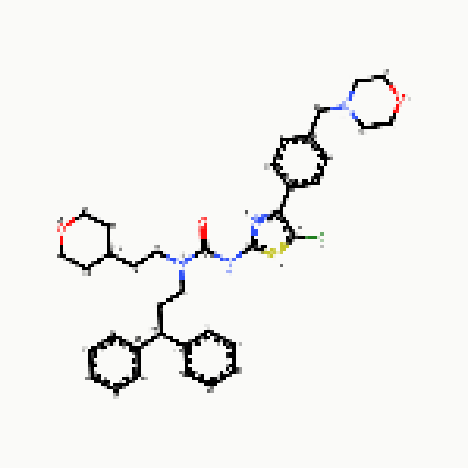 O=C(Nc1nc(-c2ccc(CN3CCOCC3)cc2)c(Cl)s1)N(CCC1CCOCC1)CCC(c1ccccc1)c1ccccc1